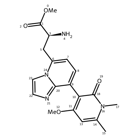 COC(=O)[C@@H](N)Cc1ccc(-c2c(OC)cc(C)n(C)c2=O)c2nccn12